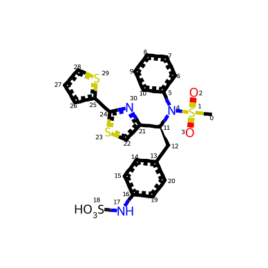 CS(=O)(=O)N(c1ccccc1)[C@@H](Cc1ccc(NS(=O)(=O)O)cc1)c1csc(-c2cccs2)n1